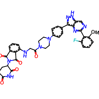 COc1cccc(F)c1-c1ncc2[nH]nc(-c3ccc(N4CCN(C(=O)CNc5cccc6c5C(=O)N(C5CCC(=O)NC5=O)C6=O)CC4)cc3)c2n1